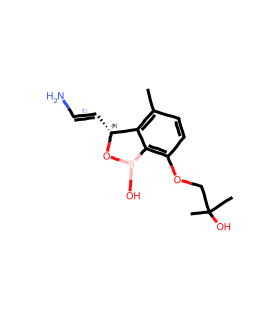 Cc1ccc(OCC(C)(C)O)c2c1[C@@H](/C=C/N)OB2O